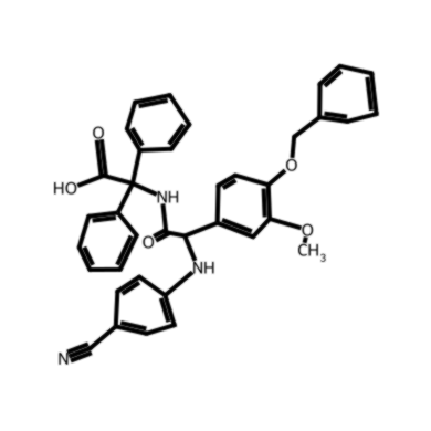 COc1cc(C(Nc2ccc(C#N)cc2)C(=O)NC(C(=O)O)(c2ccccc2)c2ccccc2)ccc1OCc1ccccc1